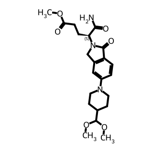 COC(=O)CC[C@@H](C(N)=O)N1Cc2cc(N3CCC(C(OC)OC)CC3)ccc2C1=O